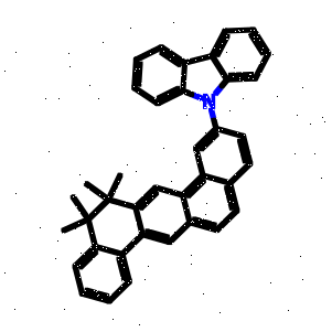 CC1(C)c2ccccc2-c2cc3ccc4ccc(-n5c6ccccc6c6ccccc65)cc4c3cc2C1(C)C